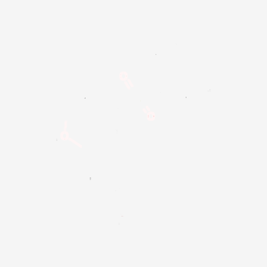 O=S(=O)(C1=CCOc2cc(Br)ccc21)c1ccccc1